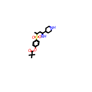 CC(CC(=N)C1CCNCC1)S(=O)(=O)c1ccc(OC(=O)C(C)(C)C)cc1